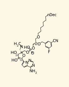 C=NC[C@]1(COP(=O)(O)OC[C@@H](COCCCCCCCCCCCCCCCCC)OCc2cc(F)cc(C#N)c2)O[C@@H](c2ccc3c(N)ncnn23)[C@H](O)[C@@H]1O